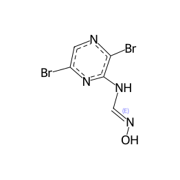 O/N=C/Nc1nc(Br)cnc1Br